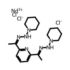 CC(=NNN1CCCCC1)c1cccc(C(C)=NNN2CCCCC2)n1.[Cl-].[Cl-].[Cl-].[Nd+3]